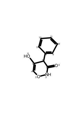 O=C1NOC=C(O)C1c1ccccc1